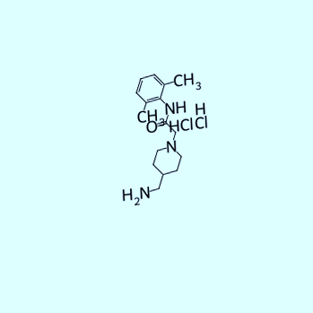 Cc1cccc(C)c1NC(=O)CN1CCC(CN)CC1.Cl.Cl